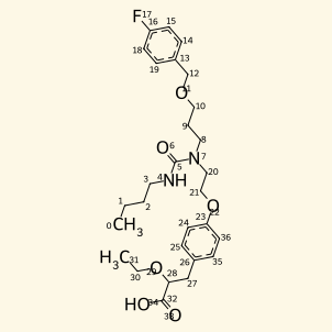 CCCCNC(=O)N(CCCOCc1ccc(F)cc1)CCOc1ccc(CC(OCC)C(=O)O)cc1